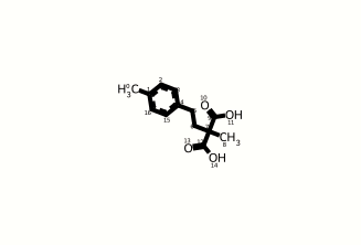 Cc1ccc(CCC(C)(C(=O)O)C(=O)O)cc1